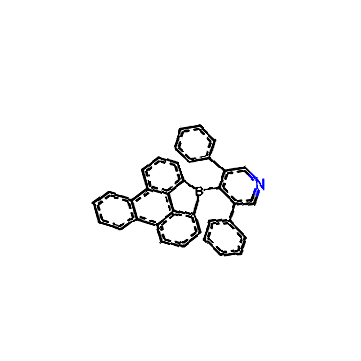 c1ccc(-c2cncc(-c3ccccc3)c2B2c3cccc4c5ccccc5c5cccc2c5c34)cc1